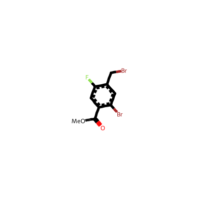 COC(=O)c1cc(F)c(CBr)cc1Br